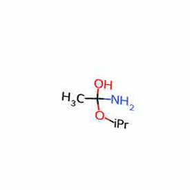 CC(C)OC(C)(N)O